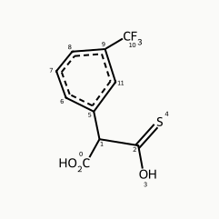 O=C(O)C(C(O)=S)c1cccc(C(F)(F)F)c1